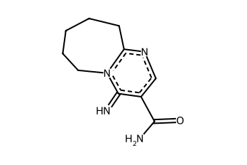 N=c1c(C(N)=O)cnc2n1CCCCC2